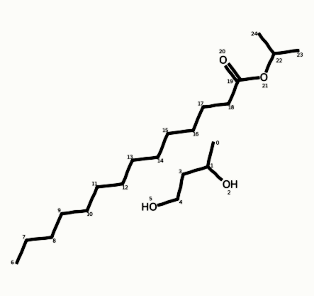 CC(O)CCO.CCCCCCCCCCCCCC(=O)OC(C)C